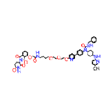 N#Cc1ccc(NC2CCC(N(C(=O)NCc3ccccc3)c3ccc(-c4ccc(OCCOCCOCCCCNC(=O)COc5cccc6c5C(=O)N(C5CCC(=O)NC5=O)C6=O)nc4)cc3)CC2)nc1